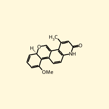 COC1=CC=C[C@H]2OC=c3c(ccc4[nH]c(=O)cc(C)c34)=C12